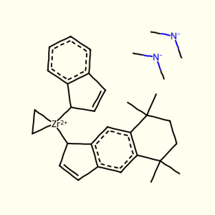 CC1(C)CCC(C)(C)c2cc3c(cc21)C=C[CH]3[Zr+2]1([CH]2C=Cc3ccccc32)[CH2][CH2]1.C[N-]C.C[N-]C